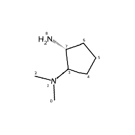 CN(C)C1CCC[C@H]1N